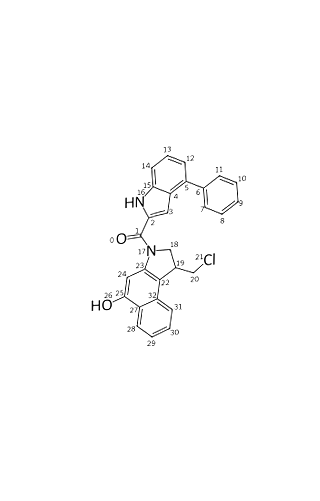 O=C(c1cc2c(-c3ccccc3)cccc2[nH]1)N1CC(CCl)c2c1cc(O)c1ccccc21